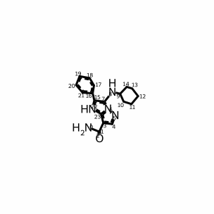 NC(=O)c1cnn2c(NC3CCCCC3)c(-c3ccccc3)[nH]c12